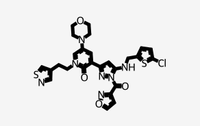 O=C(c1ccon1)n1nc(-c2cc(N3CCOCC3)cn(CCc3cnsc3)c2=O)cc1NCc1ccc(Cl)s1